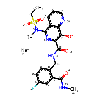 CCS(=O)(=O)N(C)c1nc(C(=O)NCc2ccc(F)cc2C(=O)NC)c([O-])c2ncccc12.[Na+]